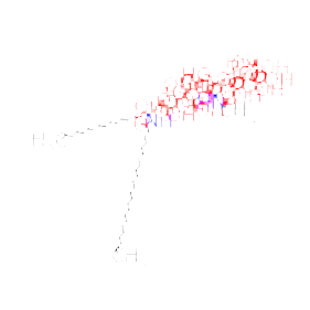 CCCCCCCCCCCCC/C=C/[C@@H](O)[C@H](CO[C@@H]1OC(CO)[C@@H](O[C@@H]2OC(CO)[C@H](O[C@@H]3OC(CO)[C@H](O)[C@H](O[C@@H]4OC(CO)[C@H](O)[C@H](O[C@H]5OC(CO)[C@H](O)[C@H](O)C5O)C4O)C3NC(C)=O)[C@H](O)C2O)[C@H](O)C1O)NC(=O)CCCCCCCCCCCCCCCCCCCCCCC